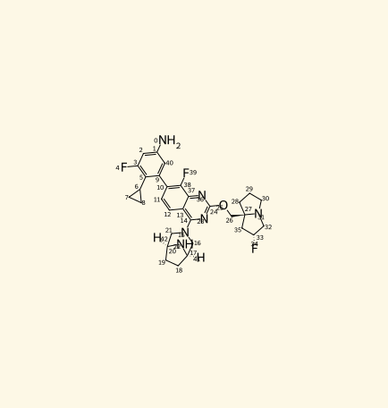 Nc1cc(F)c(C2CC2)c(-c2ccc3c(N4C[C@H]5CC[C@@H](C4)N5)nc(OC[C@@]45CCCN4C[C@H](F)C5)nc3c2F)c1